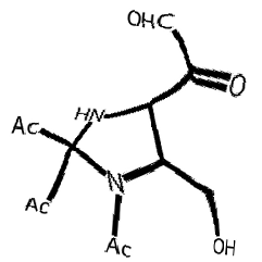 CC(=O)N1C(CO)C(C(=O)C=O)NC1(C(C)=O)C(C)=O